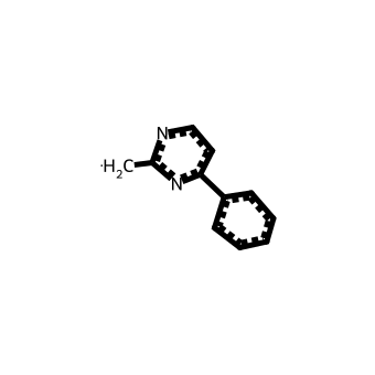 [CH2]c1nccc(-c2ccccc2)n1